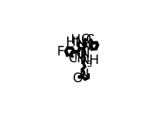 Cc1cc(F)ccc1-c1nc(NCCCN2CCCC2=O)nc2c1CNC(=O)N2c1ccccc1C